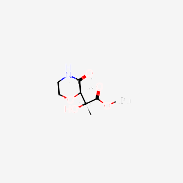 CC(C)(C)OC(=O)[C@](C)(O)[C@@]1(C)OCCNC1=O